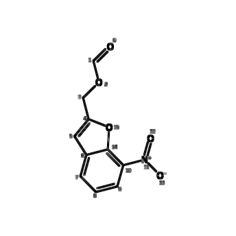 O=COCc1cc2cccc([N+](=O)[O-])c2o1